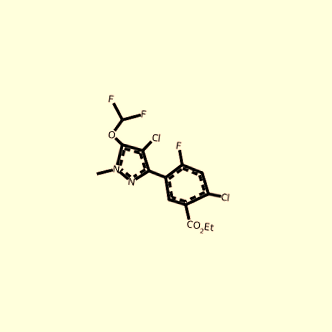 CCOC(=O)c1cc(-c2nn(C)c(OC(F)F)c2Cl)c(F)cc1Cl